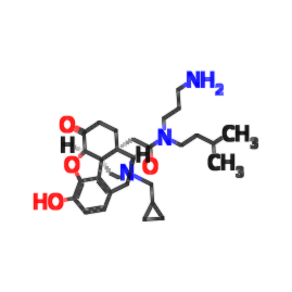 CC(C)CCN(CCCN)C(=O)C[C@@]12CCC(=O)[C@@H]3Oc4c(O)ccc5c4[C@@]31CCN(CC1CC1)[C@@H]2C5